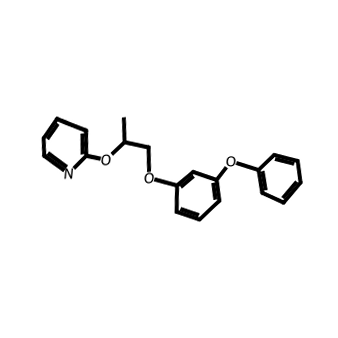 CC(COc1cccc(Oc2ccccc2)c1)Oc1ccccn1